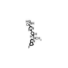 CN(c1ccc2cc(F)ccc2n1)C1[C@H]2CC(c3ncc(C(=O)NO)cn3)C[C@@H]12